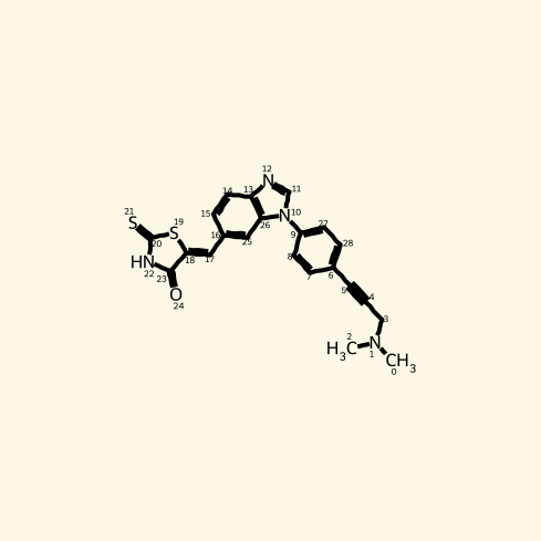 CN(C)CC#Cc1ccc(-n2cnc3ccc(/C=C4\SC(=S)NC4=O)cc32)cc1